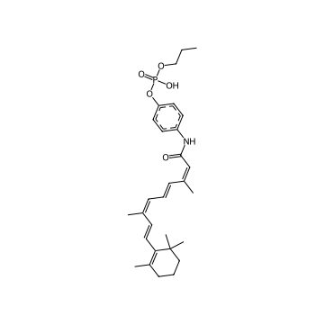 CCCOP(=O)(O)Oc1ccc(NC(=O)C=C(C)C=CC=C(C)C=CC2=C(C)CCCC2(C)C)cc1